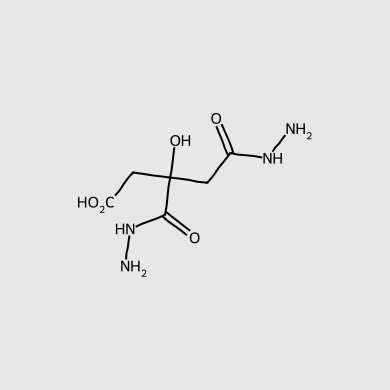 NNC(=O)CC(O)(CC(=O)O)C(=O)NN